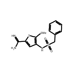 CSc1sc(C(=N)N)cc1NS(=O)(=O)Cc1ccccc1